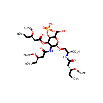 CCCCCCCCCCC[C@H](CC(=O)NC1C(OC(=O)C[C@@H](CCCCCCCCCCC)OCCCCCCCCCC)[C@@H](OP(=O)(O)O)C(CO)O[C@H]1OC[C@H](NC(=O)C[C@@H](CCCCCCCCCCC)OCCCCCCCCCC)C(=O)O)OCCCCCCCCCC